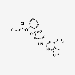 Cc1nc(NC(=O)NS(=O)(=O)c2ccccc2OC(Cl)=CCl)nc2c1CCO2